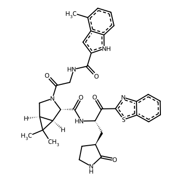 Cc1cccc2[nH]c(C(=O)NCC(=O)N3C[C@H]4[C@@H]([C@H]3C(=O)N[C@@H](C[C@@H]3CCNC3=O)C(=O)c3nc5ccccc5s3)C4(C)C)cc12